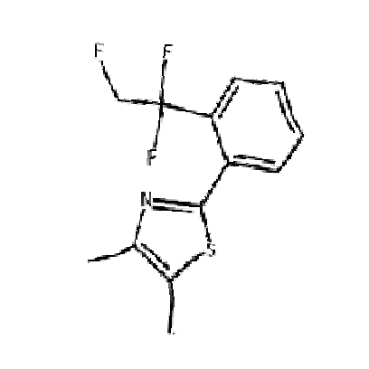 [CH2]c1sc(-c2ccccc2C(F)(F)CF)nc1C